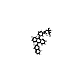 CC1(C)CB(c2cccc(-c3c4ccccc4c(-c4ccc5ccccc5c4)c4ccccc34)c2)OC1(C)C